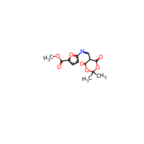 COC(=O)c1ccc(/N=C\C2C(=O)OC(C)(C)OC2=O)o1